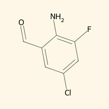 Nc1c(F)cc(Cl)cc1C=O